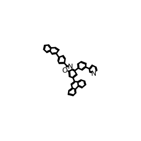 c1cncc(-c2cccc(-c3cc(-c4cc5ccccc5c5ccccc45)cc4oc(-c5ccc(-c6ccc7ccccc7c6)cc5)nc34)c2)c1